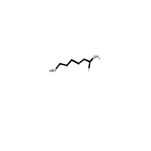 CCCCCCCCCC([SiH3])I